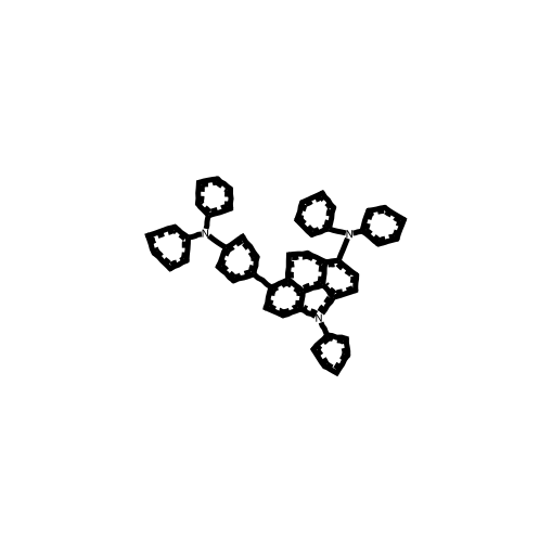 c1ccc(N(c2ccccc2)c2ccc(-c3ccc4c5c3ccc3c(N(c6ccccc6)c6ccccc6)ccc(c35)n4-c3ccccc3)cc2)cc1